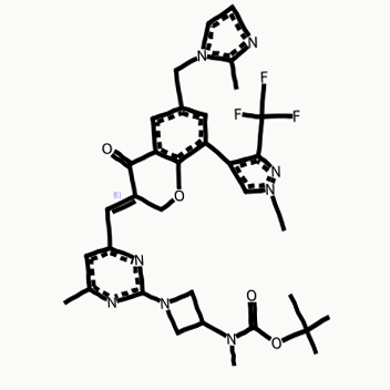 Cc1cc(/C=C2\COc3c(cc(Cn4ccnc4C)cc3-c3cn(C)nc3C(F)(F)F)C2=O)nc(N2CC(N(C)C(=O)OC(C)(C)C)C2)n1